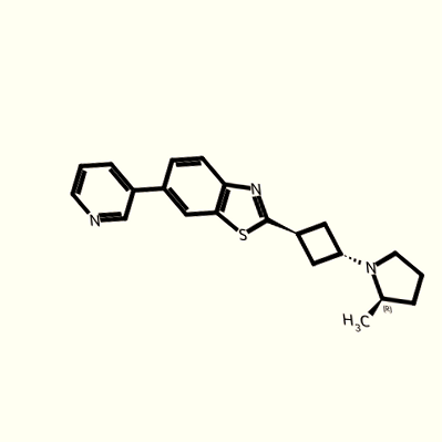 C[C@@H]1CCCN1[C@H]1C[C@H](c2nc3ccc(-c4cccnc4)cc3s2)C1